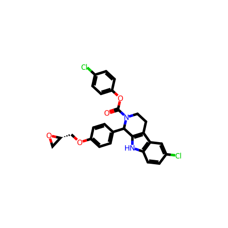 O=C(Oc1ccc(Cl)cc1)N1CCc2c([nH]c3ccc(Cl)cc23)C1c1ccc(OC[C@@H]2CO2)cc1